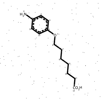 Nc1ccc(OCCCCCCC(=O)O)cc1